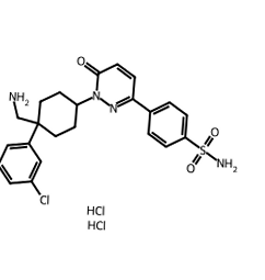 Cl.Cl.NCC1(c2cccc(Cl)c2)CCC(n2nc(-c3ccc(S(N)(=O)=O)cc3)ccc2=O)CC1